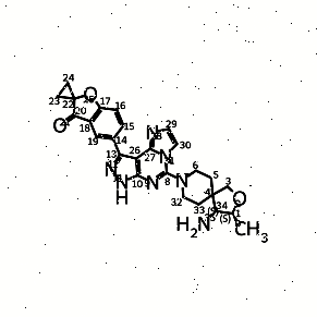 C[C@@H]1OCC2(CCN(c3nc4[nH]nc(-c5ccc6c(c5)C(=O)C5(CC5)O6)c4c4nccn34)CC2)[C@@H]1N